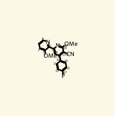 COc1cccnc1-c1cc(-c2ccc(F)cc2)c(C#N)c(OC)n1